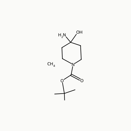 C.CC(C)(C)OC(=O)N1CCC(N)(O)CC1